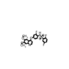 COc1cc2nccc(Oc3ccc(NS(=O)(=O)c4cc(F)ccc4F)c(F)c3)c2cc1OC